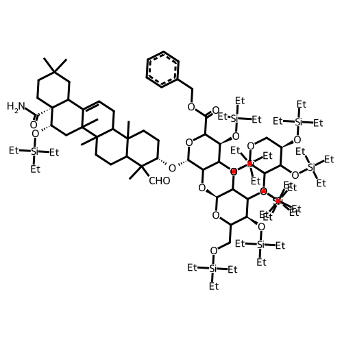 CC[Si](CC)(CC)OCC1O[C@@H](OC2C(O[C@@H]3OC[C@@H](O[Si](CC)(CC)CC)C(O[Si](CC)(CC)CC)C3O[Si](CC)(CC)CC)[C@H](O[Si](CC)(CC)CC)C(C(=O)OCc3ccccc3)O[C@H]2O[C@H]2CCC3(C)C(CCC4(C)C3CC=C3C5CC(C)(C)CC[C@]5(C(N)=O)[C@@H](O[Si](CC)(CC)CC)CC34C)C2(C)C=O)C(O[Si](CC)(CC)CC)C(O[Si](CC)(CC)CC)[C@H]1O[Si](CC)(CC)CC